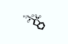 NS(=O)(=O)C1=Cc2ccccc2S1(=O)=O